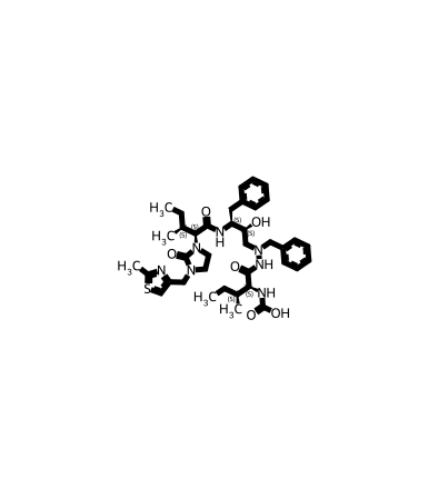 CC[C@H](C)[C@H](NC(=O)O)C(=O)NN(Cc1ccccc1)C[C@H](O)[C@H](Cc1ccccc1)NC(=O)[C@H]([C@@H](C)CC)N1CCN(Cc2csc(C)n2)C1=O